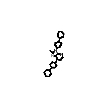 Cc1nc2c(-c3ccc(-c4ccccc4)cc3)ccnc2n1-c1ccc(-c2ccccc2)cc1